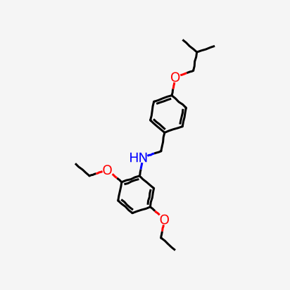 CCOc1ccc(OCC)c(NCc2ccc(OCC(C)C)cc2)c1